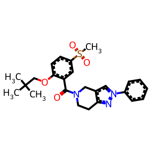 CC(C)(C)COc1ccc(S(C)(=O)=O)cc1C(=O)N1CCc2nn(-c3ccccc3)cc2C1